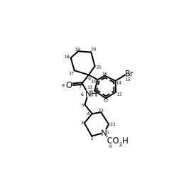 O=C(O)N1CCC(CNC(=O)C2(c3cccc(Br)c3)CCCCC2)CC1